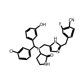 N#Cc1ccc(Cc2ncc(CN(C3CCNC3=O)C(c3cccc(O)c3)c3cccc(Cl)c3)[nH]2)cc1F